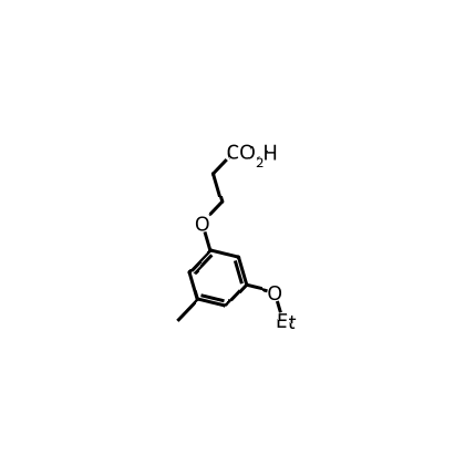 CCOc1cc(C)cc(OCCC(=O)O)c1